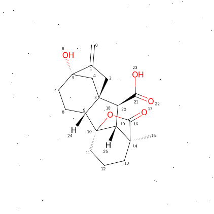 C=C1C[C@]23C[C@@]1(O)CC[C@H]2[C@@]12CCC[C@](C)(C(=O)O1)[C@H]2[C@@H]3C(=O)O